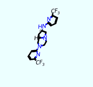 FC(F)(F)c1cccc(N[C@H]2C[C@H]3CN(c4cccc(C(F)(F)F)n4)CCN3C2)n1